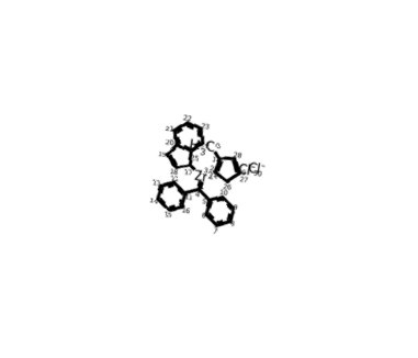 CC1=[C]([Zr+2](=[C](c2ccccc2)c2ccccc2)[CH]2C=Cc3ccccc32)CC=C1.[Cl-].[Cl-]